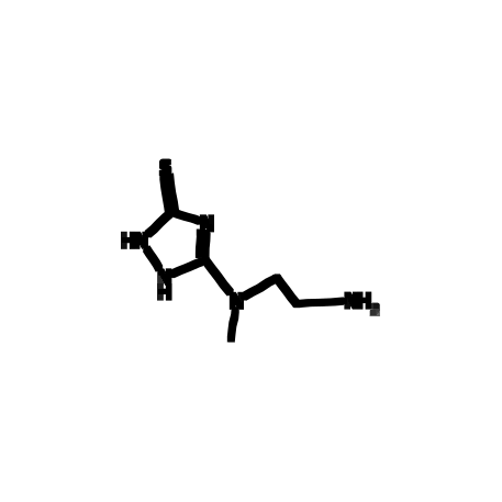 CN(CCN)c1nc(=S)[nH][nH]1